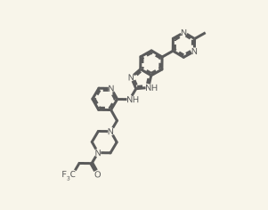 Cc1ncc(-c2ccc3nc(Nc4ncccc4CN4CCN(C(=O)CC(F)(F)F)CC4)[nH]c3c2)cn1